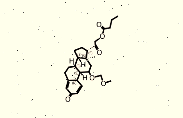 CCCC(=O)OCC(=O)[C@H]1CC[C@H]2[C@@H]3CCC4=CC(=O)C=C[C@]4(C)[C@H]3C(OCOC)C[C@]12C